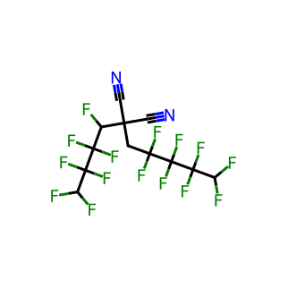 N#CC(C#N)(CC(F)(F)C(F)(F)C(F)(F)C(F)F)C(F)C(F)(F)C(F)(F)C(F)F